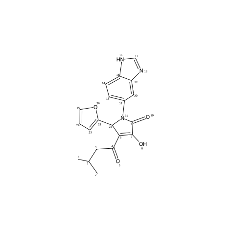 CC(C)CC(=O)C1=C(O)C(=O)N(c2ccc3[nH]cnc3c2)C1c1ccco1